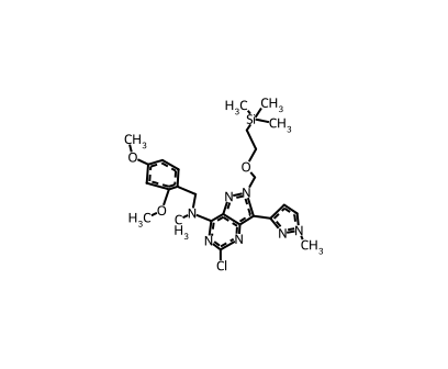 COc1ccc(CN(C)c2nc(Cl)nc3c(-c4ccn(C)n4)n(COCC[Si](C)(C)C)nc23)c(OC)c1